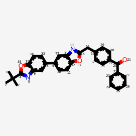 CC(C)(C)c1nc2cc(-c3ccc4oc(Cc5ccc(C(=O)c6ccccc6)cc5)nc4c3)ccc2o1